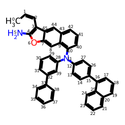 C/C=C\c1c(N)oc2cc3c(N(c4ccc(-c5cccc6ccccc56)cc4)c4cccc(-c5ccccc5)c4)cccc3cc12